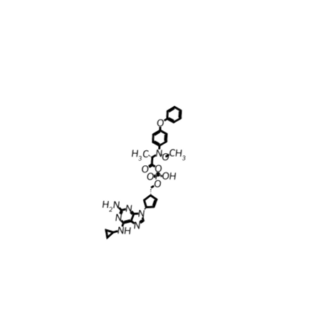 CON(c1ccc(Oc2ccccc2)cc1)[C@@H](C)C(=O)OP(=O)(O)OC[C@@H]1C=C[C@H](n2cnc3c(NC4CC4)nc(N)nc32)C1